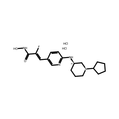 Cl.Cl.O=C(NO)C(F)=Cc1ccc(N[C@@H]2CCCN(C3CCCC3)C2)nc1